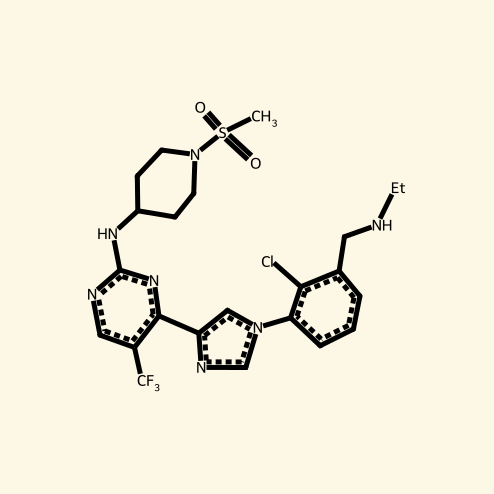 CCNCc1cccc(-n2cnc(-c3nc(NC4CCN(S(C)(=O)=O)CC4)ncc3C(F)(F)F)c2)c1Cl